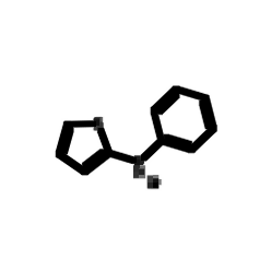 [Li].c1ccc(Pc2cccs2)cc1